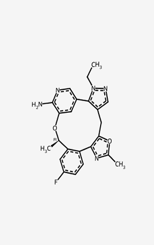 CCn1ncc2c1-c1cnc(N)c(c1)O[C@H](C)c1cc(F)ccc1-c1nc(C)oc1C2